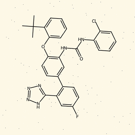 CC(C)(C)c1ccccc1Oc1ccc(-c2ccc(F)cc2-c2nnn[nH]2)cc1NC(=O)Nc1ccccc1Cl